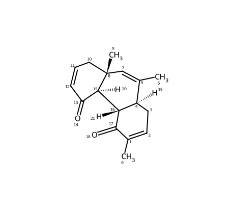 CC1=CC[C@@H]2C(C)=C[C@@]3(C)CC=CC(=O)[C@@H]3[C@H]2C1=O